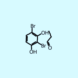 CCC=O.Oc1ccc(Br)c(O)c1Br